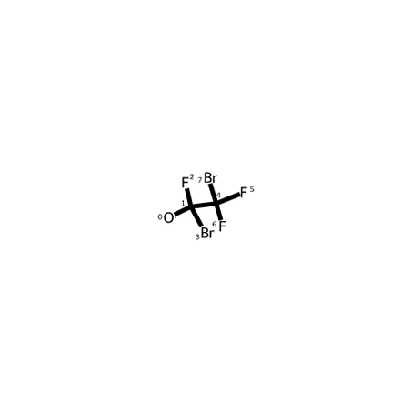 [O]C(F)(Br)C(F)(F)Br